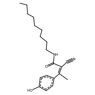 CCCCCCCCCNC(=O)C(C#N)=C(C)c1ccc(O)cc1